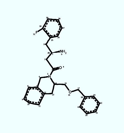 N[C@@H](CC(=O)N1Cc2ccccc2CC1COCc1ccccc1)Cc1ccccc1F